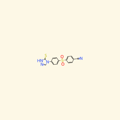 N#Cc1ccc(S(=O)(=O)c2ccc(-n3cn[nH]c3=S)cc2)cc1